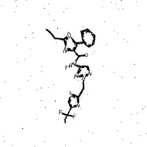 CCc1nc(C(=O)Nc2cnn(Cc3nc(C(C)(F)F)cs3)n2)c(-c2ccccc2)o1